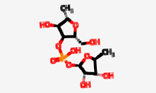 C[C@@H]1O[C@H](OP(=O)(O)O[C@H]2[C@@H](O)[C@H](C)O[C@@H]2CO)[C@@H](O)[C@H]1O